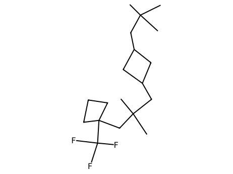 CC(C)(C)CC1CC(CC(C)(C)CC2(C(F)(F)F)CCC2)C1